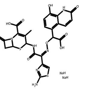 CC1=C(C(=O)O)N2C(=O)CC2SC1NC(=O)/C(=N\OC(C(=O)O)c1ccc(O)c2[nH]c(=O)ccc12)c1csc(N)n1.[NaH].[NaH]